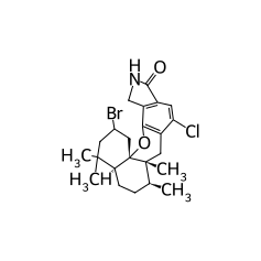 C[C@H]1CC[C@H]2C(C)(C)CC(Br)C[C@]23Oc2c(c(Cl)cc4c2CNC4=O)C[C@]13C